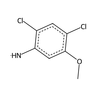 COc1cc([NH])c(Cl)cc1Cl